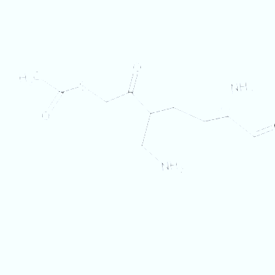 CC(=O)SCC(=O)C(CN)CC[C@H](N)[C]=O